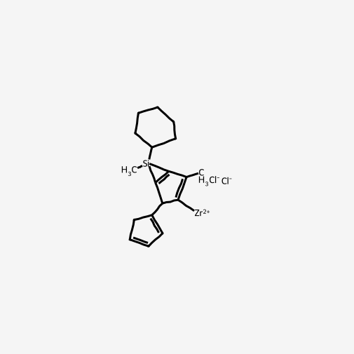 CC1=[C]([Zr+2])C(C2=CC=CC2)C2=C1[Si]2(C)C1CCCCC1.[Cl-].[Cl-]